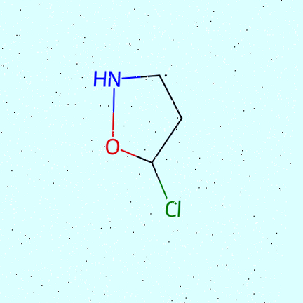 ClC1C[CH]NO1